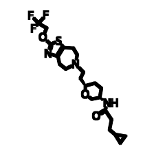 O=C(CCC1CC1)N[C@H]1CC[C@H](CCN2CCc3nc(OCC(F)(F)F)sc3CC2)OC1